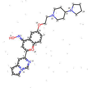 ON=c1cc(-c2cc3cccn3cn2)oc2ccc(OCCN3CCC(N4CCCC4)CC3)cc12